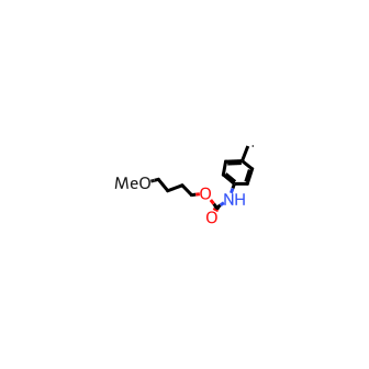 [CH2]c1ccc(NC(=O)OCCCCOC)cc1